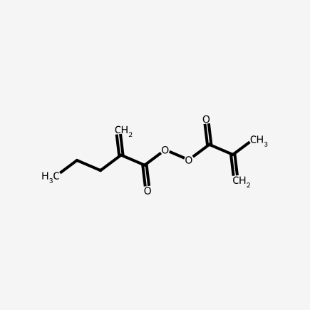 C=C(C)C(=O)OOC(=O)C(=C)CCC